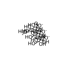 O.O=C([O-])C(O)C(O)C(O)C(O)CO.O=C([O-])C(O)C(O)C(O)C(O)CO.O=C([O-])C(O)C(O)C(O)C(O)CO.[Cr+3]